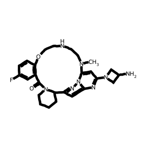 CN1CCNCCOc2ccc(F)cc2C(=O)N2CCCCC2c2cc3nc(N4CC(N)C4)cc1n3n2